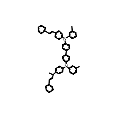 Cc1cccc(N(c2ccc(/C=C/c3ccccc3)cc2)c2ccc(-c3ccc(N(c4ccc(C(C)/C=C/c5ccccc5)cc4)c4cccc(C)c4)cc3)cc2)c1